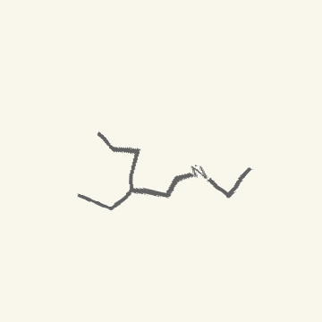 CC[N]CC(CC)CC